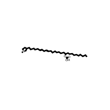 CCCCCCCCCCC(CCCCCCCC=CCC=CCCCCCC1CCN(C)C1)OC(=O)O